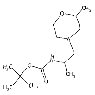 CC(CN1CCOC(C)C1)NC(=O)OC(C)(C)C